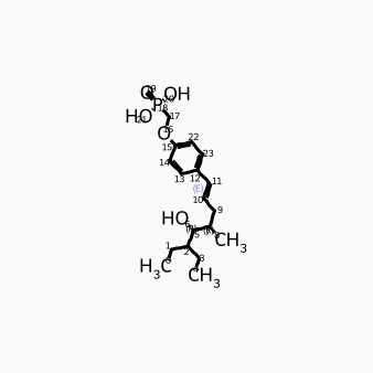 CCC(CC)[C@H](O)[C@H](C)C/C=C/c1ccc(OCP(=O)(O)O)cc1